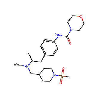 CCCN(CC1CCN(S(C)(=O)=O)CC1)C(C)Cc1ccc(NC(=O)N2CCOCC2)cc1